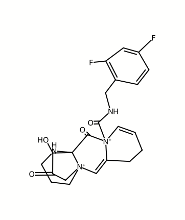 O=C1C[N+]23C=C4CCC=C[N+]4(C(=O)NCc4ccc(F)cc4F)C(=O)C2(NCCC3)C1O